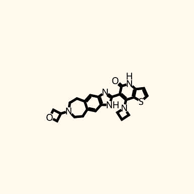 O=c1[nH]c2ccsc2c(N2CCC2)c1-c1nc2cc3c(cc2[nH]1)CCN(C1COC1)CC3